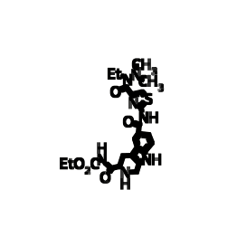 CCOC(=O)NC(=O)C1Cc2c([nH]c3ccc(C(=O)Nc4nc(C(=O)N(CC)N(C)C)cs4)cc23)CN1